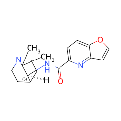 CC1(C)[C@@H](NC(=O)c2ccc3occc3n2)C2CCN1CC2